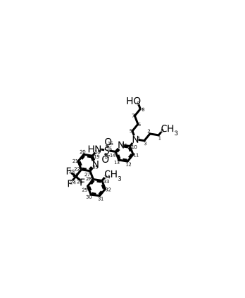 CCCCN(CCCCO)c1cccc(S(=O)(=O)Nc2ccc(C(F)(F)F)c(-c3ccccc3C)n2)n1